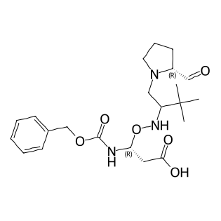 CC(C)(C)C(CN1CCC[C@@H]1C=O)NO[C@H](CC(=O)O)NC(=O)OCc1ccccc1